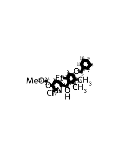 CCc1cc(OCc2ccccc2)c(C)c(C)c1C(O)c1ccc(OCOC)c(Cl)n1